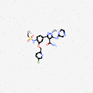 CC(C)(C)n1nc(-c2ccc(NS(=O)(=O)CC(F)(F)F)c(OCc3ccc(Cl)cn3)c2)c(C(N)=O)c1Nc1cnccn1